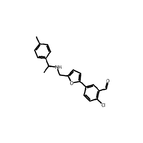 Cc1ccc(C(C)NCc2ccc(-c3ccc(Cl)c(C=O)c3)o2)cc1